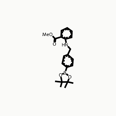 COC(=O)c1ccccc1NCc1ccc(B2OC(C)(C)C(C)(C)O2)cc1